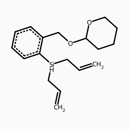 C=CC[SiH](CC=C)c1ccccc1COC1CCCCO1